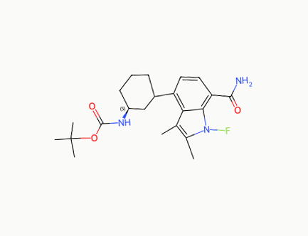 Cc1c(C)n(F)c2c(C(N)=O)ccc(C3CCC[C@H](NC(=O)OC(C)(C)C)C3)c12